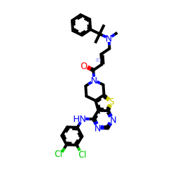 CN(C/C=C/C(=O)N1CCc2c(sc3ncnc(Nc4ccc(Cl)c(Cl)c4)c23)C1)C(C)(C)c1ccccc1